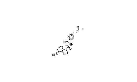 CCOc1cccc2c(S(=O)(=O)NC(=O)c3ccc(COC(=O)C(C)C)nc3)cccc12